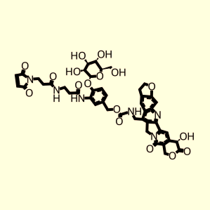 O=C(CCN1C(=O)C=CC1=O)NCCC(=O)Nc1cc(COC(=O)NCc2c3c(nc4cc5c(cc24)CCO5)-c2cc4c(c(=O)n2C3)COC(=O)[C@H]4O)ccc1O[C@H]1O[C@H](CO)[C@@H](O)[C@H](O)[C@@H]1O